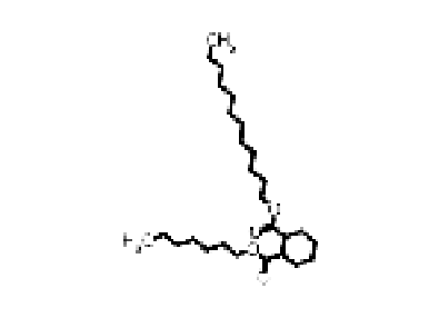 CCCCCCCCCCCCOC(=O)C1CCCCC1C(=O)OCCCCCCC